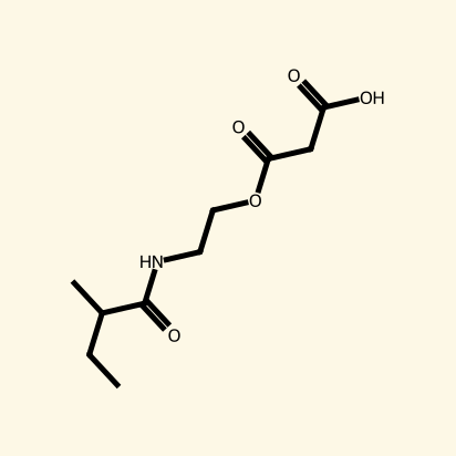 CCC(C)C(=O)NCCOC(=O)CC(=O)O